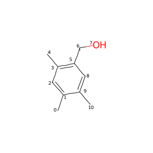 Cc1cc(C)c([CH]O)cc1C